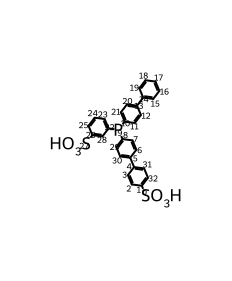 O=S(=O)(O)c1ccc(-c2ccc(P(c3ccc(-c4ccccc4)cc3)c3cccc(S(=O)(=O)O)c3)cc2)cc1